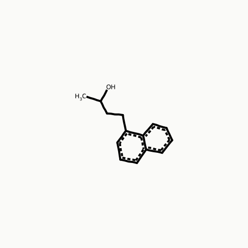 CC(O)CCc1cccc2ccccc12